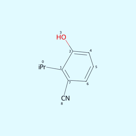 CC(C)c1c(O)cccc1C#N